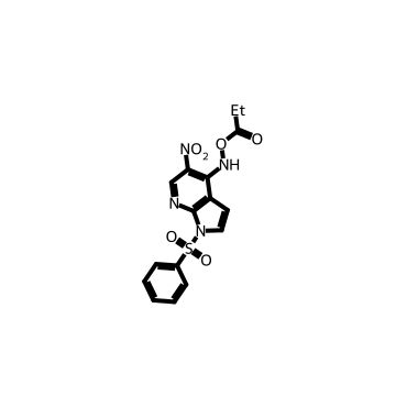 CCC(=O)ONc1c([N+](=O)[O-])cnc2c1ccn2S(=O)(=O)c1ccccc1